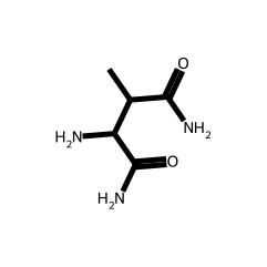 CC(C(N)=O)C(N)C(N)=O